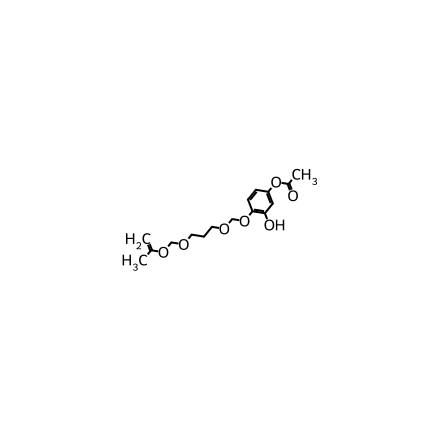 C=C(C)OCOCCCOCOc1ccc(OC(C)=O)cc1O